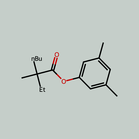 CCCCC(C)(CC)C(=O)Oc1cc(C)cc(C)c1